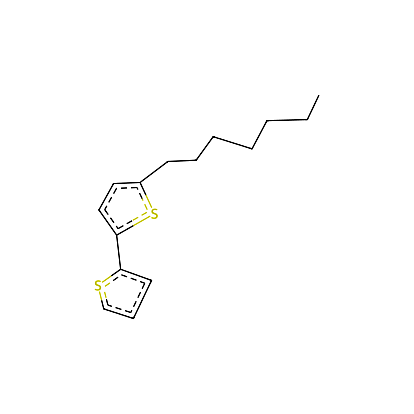 CCCCCCCc1ccc(-c2cccs2)s1